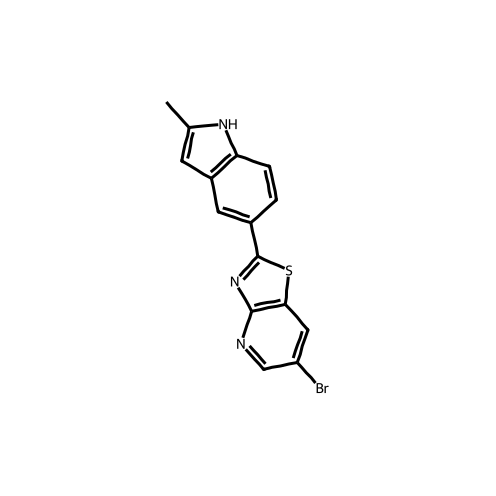 Cc1cc2cc(-c3nc4ncc(Br)cc4s3)ccc2[nH]1